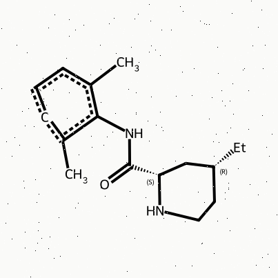 CC[C@@H]1CCN[C@H](C(=O)Nc2c(C)cccc2C)C1